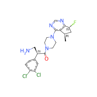 C[C@@H]1C[C@H](F)c2ncnc(N3CCN(C(=O)[C@H](CN)c4ccc(Cl)c(Cl)c4)CC3)c21